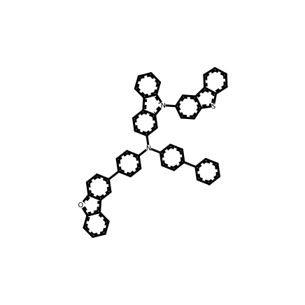 c1ccc(-c2ccc(N(c3ccc(-c4ccc5oc6ccccc6c5c4)cc3)c3ccc4c5ccccc5n(-c5ccc6sc7ccccc7c6c5)c4c3)cc2)cc1